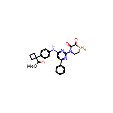 COC(=O)C1(c2ccc(Nc3cc(-c4ccccc4)nc(N4CC[SH4]C(=O)C4=O)n3)cc2)CCC1